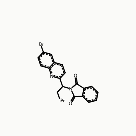 CC(C)CC(c1ccc2cc(Br)ccc2n1)N1C(=O)c2ccccc2C1=O